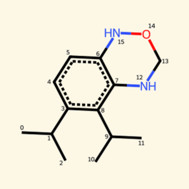 CC(C)c1ccc2c(c1C(C)C)NCON2